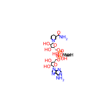 NC(=O)C1=CN([C@@H]2O[C@H](COP(=O)(O)OP(=O)(O)OC[C@H]3O[C@@H](n4cnc5c(N)ncnc54)[C@H](O)[C@@H]3O)[C@@H](O)[C@H]2O)C=CC1.[NaH].[NaH]